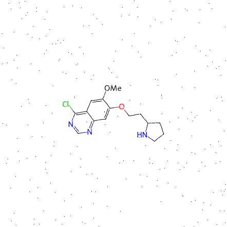 COc1cc2c(Cl)ncnc2cc1OCCC1CCCN1